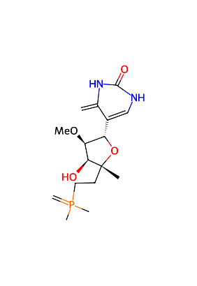 C=C1NC(=O)NC=C1[C@@H]1O[C@](C)(CCP(=C)(C)C)[C@@H](O)[C@H]1OC